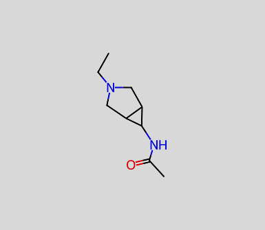 CCN1CC2C(C1)C2NC(C)=O